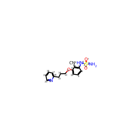 N#Cc1c(NS(N)(=O)=O)cccc1OCCCc1ccccn1